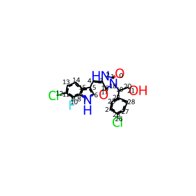 O=C1NC(=Cc2c[nH]c3c(F)c(Cl)ccc23)C(=O)N1C(CO)c1ccc(Cl)cc1